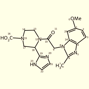 COc1ccc2nc(C)n(CC(=O)N3CCN(C(=O)O)CC3c3ncc[nH]3)c2c1